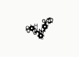 O=C(Nc1ccc2c(c1)OCO2)c1nn(Cc2ccc(C(=O)N3CCOCC3)cc2)c2ccccc12